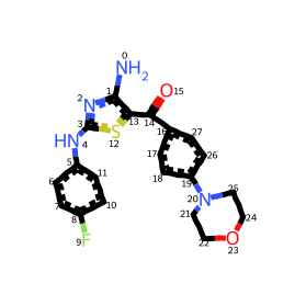 Nc1nc(Nc2ccc(F)cc2)sc1C(=O)c1ccc(N2CCOCC2)cc1